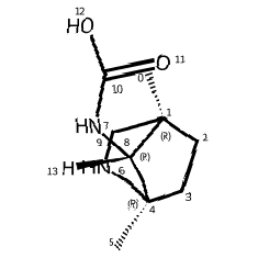 C[C@@]12CC[C@@](C)(NC1)[C@@H]2NC(=O)O